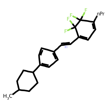 CCCC1=CC=C(/C=C/c2ccc(C3CCC(C)CC3)cc2)C(F)(F)C1(F)F